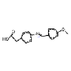 COc1ccc(/C=N/c2ccc(CC(=O)O)cc2)cc1